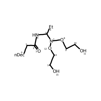 CCCCCCCCCCCC(=O)NC(CC)N(OCCO)OCCO